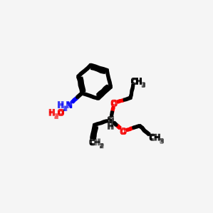 C=C[SiH](OCC)OCC.Nc1ccccc1.O